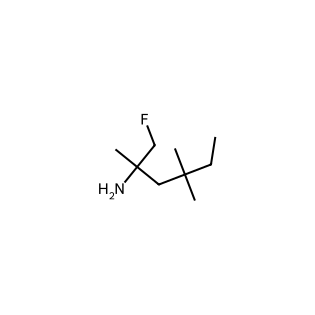 CCC(C)(C)CC(C)(N)CF